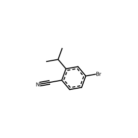 CC(C)c1cc(Br)ccc1C#N